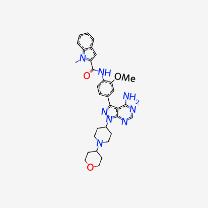 COc1cc(-c2nn(C3CCN(C4CCOCC4)CC3)c3ncnc(N)c23)ccc1NC(=O)c1cc2ccccc2n1C